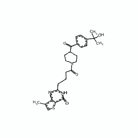 Cc1csc2c(=O)[nH]c(CCCC(=O)N3CCC(C(=O)c4ccc(C(C)(C)O)cc4)CC3)nc12